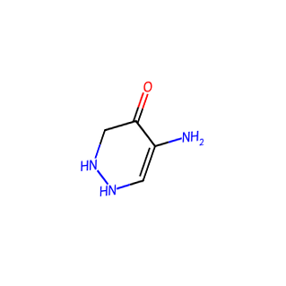 NC1=CNNCC1=O